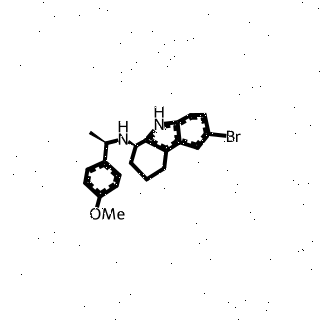 COc1ccc([C@@H](C)N[C@@H]2CCCc3c2[nH]c2ccc(Br)cc32)cc1